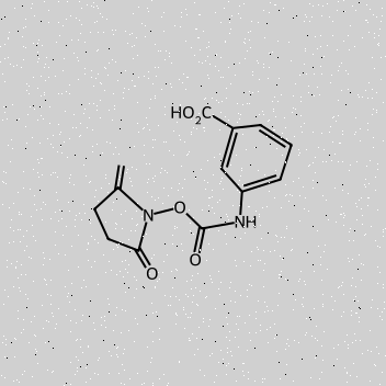 C=C1CCC(=O)N1OC(=O)Nc1cccc(C(=O)O)c1